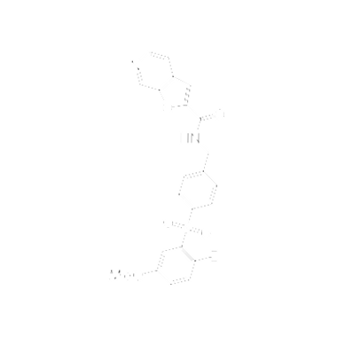 CCc1ccc(OC)cc1S(=O)(=O)c1ccc(CNC(=O)c2cc3ccncc3o2)cc1